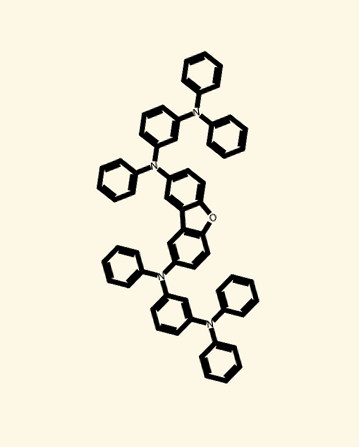 c1ccc(N(c2ccccc2)c2cccc(N(c3ccccc3)c3ccc4oc5ccc(N(c6ccccc6)c6cccc(N(c7ccccc7)c7ccccc7)c6)cc5c4c3)c2)cc1